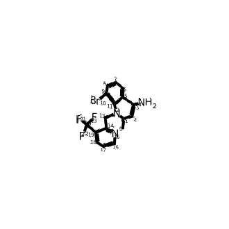 CC1C=C(N)c2cccc(Br)c2N1Cc1ncccc1C(F)(F)F